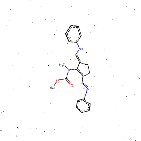 CN(C(=O)OC(C)(C)C)C1=C(/C=N/c2ccccc2)CC/C1=C\Nc1ccccc1